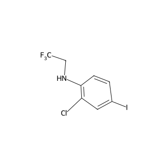 FC(F)(F)CNc1ccc(I)cc1Cl